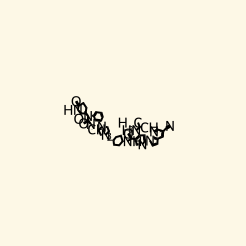 CC(C)Nc1cc(-n2ccc3cc(C#N)cnc32)ncc1C(=O)N[C@H]1CC[C@H](CN2CCN(c3cccc4c3n(C)c(=O)n4C3CCC(=O)NC3=O)CC2)CC1